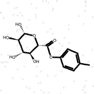 Cc1ccc(OC(=O)[C@H]2O[C@@H](O)[C@H](O)[C@@H](O)[C@@H]2O)cc1